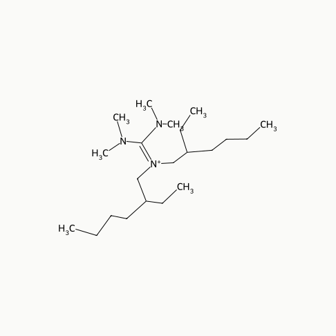 CCCCC(CC)C[N+](CC(CC)CCCC)=C(N(C)C)N(C)C